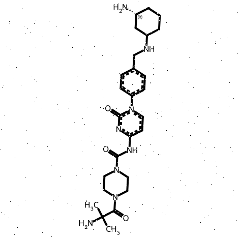 CC(C)(N)C(=O)N1CCN(C(=O)Nc2ccn(-c3ccc(CNC4CCC[C@@H](N)C4)cc3)c(=O)n2)CC1